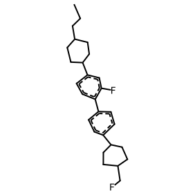 CCCC1CCC(c2ccc(-c3ccc(C4CCC(CF)CC4)cc3)c(F)c2)CC1